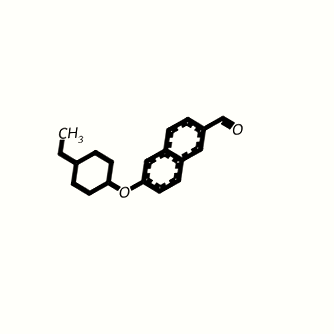 CCC1CCC(Oc2ccc3cc(C=O)ccc3c2)CC1